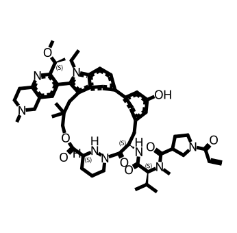 C=CC(=O)N1CCC(C(=O)N(C)[C@H](C(=O)N[C@H]2Cc3cc(O)cc(c3)-c3ccc4c(c3)c(c(-c3cc5c(nc3[C@H](C)OC)CCN(C)C5)n4CC)CC(C)(C)COC(=O)[C@@H]3CCCN(N3)C2=O)C(C)C)C1